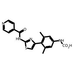 Cc1cc(NC(=O)O)cc(C)c1-c1csc(NC(=O)c2ccncc2)n1